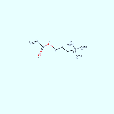 C=CC(=O)OCC[CH2][Ti]([O]C)([O]C)[O]C